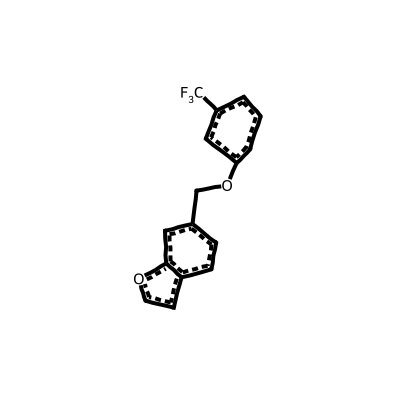 FC(F)(F)c1cccc(OCc2ccc3ccoc3c2)c1